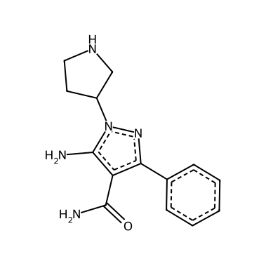 NC(=O)c1c(-c2ccccc2)nn(C2CCNC2)c1N